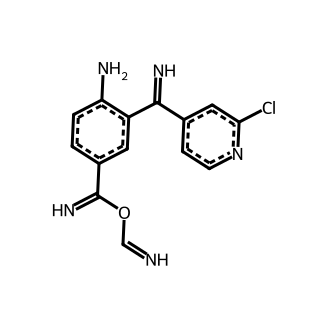 N=COC(=N)c1ccc(N)c(C(=N)c2ccnc(Cl)c2)c1